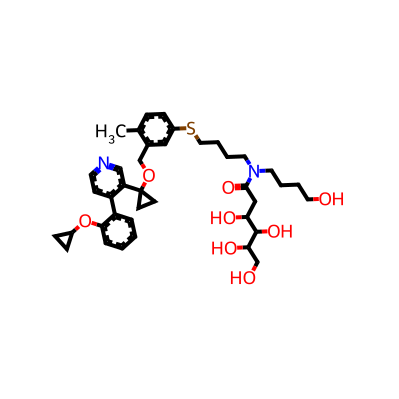 Cc1ccc(SCCCCN(CCCCO)C(=O)CC(O)C(O)C(O)CO)cc1COC1(c2cnccc2-c2ccccc2OC2CC2)CC1